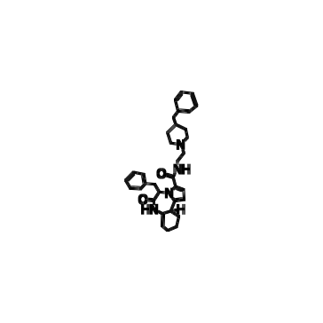 O=C(NCCN1CCC(Cc2ccccc2)CC1)c1ccc2n1C(Cc1ccccc1)C(=O)NC1=CCCC[C@H]12